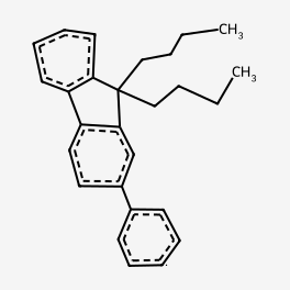 CCCCC1(CCCC)c2ccccc2-c2ccc(-c3cc[c]cc3)cc21